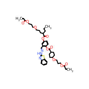 C=CC(=O)OCCCOCCCC(CCC)C(=O)Oc1ccc(OC(=O)C2CCC(OCCCOC(=O)C=C)CC2)c(/C=N/Nc2nc3ccccc3s2)c1